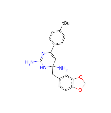 CC(C)(C)c1ccc(C2=CC(N)(Cc3ccc4c(c3)OCO4)NC(N)=N2)cc1